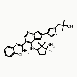 CC(C)(O)Cn1cc(-c2cc3c(N[C@@H]4CC[C@](C)(N)C4(C)C)c(/C(N)=N/c4ccccc4Cl)cnn3c2)cn1